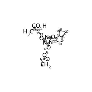 C=CC(=O)OCCOc1nc(OCCC=C(C)C(=O)O)nc(Oc2cccc3ccccc23)n1